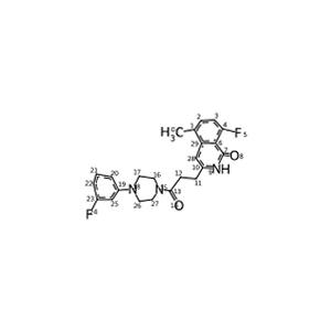 Cc1ccc(F)c2c(=O)[nH]c(CCC(=O)N3CCN(c4cccc(F)c4)CC3)cc12